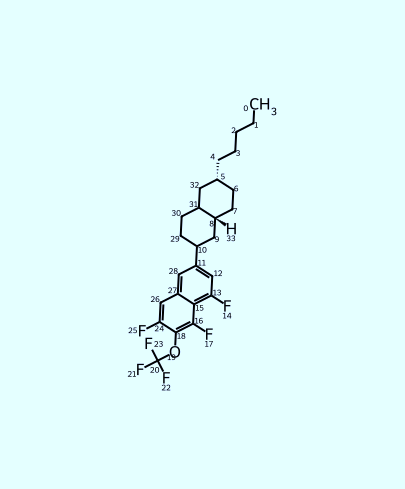 CCCCC[C@@H]1CC[C@@H]2CC(c3cc(F)c4c(F)c(OC(F)(F)F)c(F)cc4c3)CCC2C1